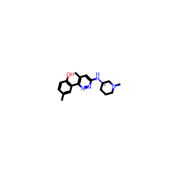 Cc1ccc(O)c(-c2nnc(N[C@@H]3CCCN(C)C3)cc2C)c1